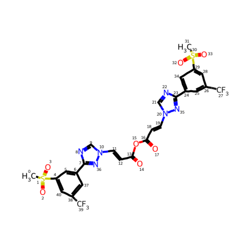 CS(=O)(=O)c1cc(-c2ncn(C=CC(=O)OC(=O)C=Cn3cnc(-c4cc(C(F)(F)F)cc(S(C)(=O)=O)c4)n3)n2)cc(C(F)(F)F)c1